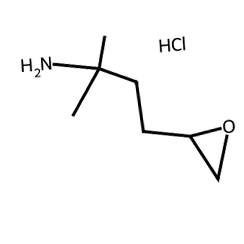 CC(C)(N)CCC1CO1.Cl